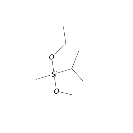 CCO[Si](C)(OC)C(C)C